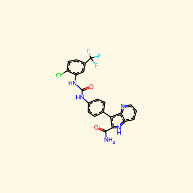 NC(=O)c1[nH]c2cccnc2c1-c1ccc(NC(=O)Nc2cc(C(F)(F)F)ccc2Cl)cc1